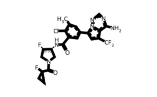 Cc1cc(-c2cc(C(F)(F)F)c3c(N)ncnn23)cc(C(=O)N[C@@H]2CN(C(=O)C3(F)CC3)C[C@@H]2F)c1Cl